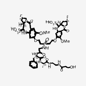 COc1cc2c(cc1OCCP(=O)(CCOc1cc3c(cc1OC)C(=O)N1C[C@H](F)C[C@H]1C(S(=O)(=O)O)N3)NCC(=O)N[C@@H](Cc1ccccc1)C(=O)N[C@@H](C)C(=O)NCCNC(=O)CCO)NC(S(=O)(=O)O)[C@H]1C[C@@H](F)CN1C2=O